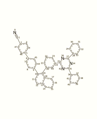 N#Cc1ccc(-c2ccc(-c3ccc4ccccc4c3-c3cccc(-c4nc(-c5ccccc5)nc(-c5ccccc5)n4)c3)cc2)cc1